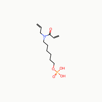 C=CCN(CCCCCCOP(=O)(O)O)C(=O)C=C